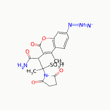 [CH2]C(C(C(N)=O)c1c(C)c2ccc(N=[N+]=[N-])cc2oc1=O)(N1C(=O)CCC1=O)S(=O)(=O)O